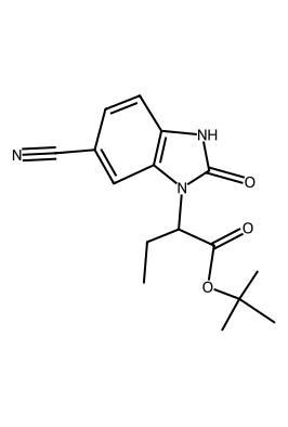 CCC(C(=O)OC(C)(C)C)n1c(=O)[nH]c2ccc(C#N)cc21